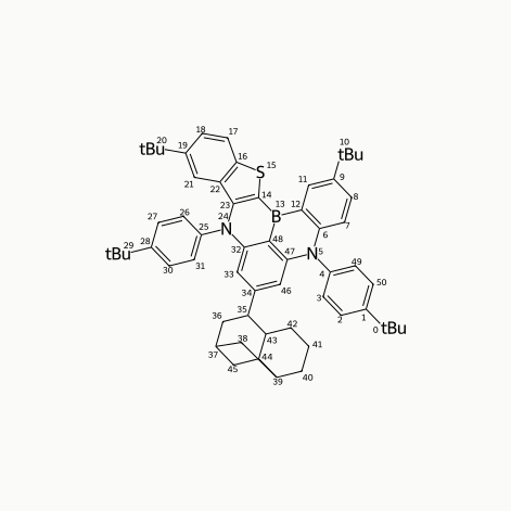 CC(C)(C)c1ccc(N2c3ccc(C(C)(C)C)cc3B3c4sc5ccc(C(C)(C)C)cc5c4N(c4ccc(C(C)(C)C)cc4)c4cc(C5CC6CC7CCCC5C7C6)cc2c43)cc1